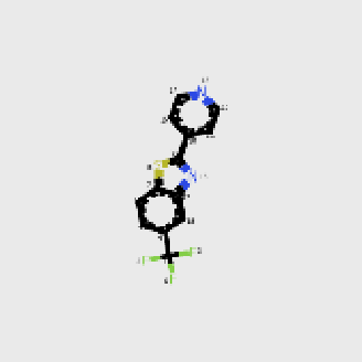 FC(F)(F)c1ccc2sc(-c3ccncc3)nc2c1